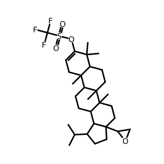 CC(C)C1CCC2(C3CO3)CCC3(C)C(CCC4C5(C)CC=C(OS(=O)(=O)C(F)(F)F)C(C)(C)C5CCC43C)C12